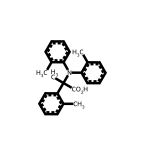 Cc1ccccc1N(c1ccccc1C)C(C)(C(=O)O)c1ccccc1C